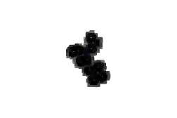 CC1(C)c2ccccc2-c2cc(N(c3ccc(-c4ccc5c(c4)C4(c6ccccc6-c6ccccc64)c4ccccc4-5)cc3)c3ccc4ccccc4c3-c3ccccc3)ccc21